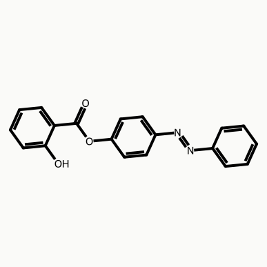 O=C(Oc1ccc(/N=N/c2ccccc2)cc1)c1ccccc1O